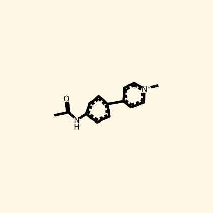 CC(=O)Nc1ccc(-c2cc[n+](C)cc2)cc1